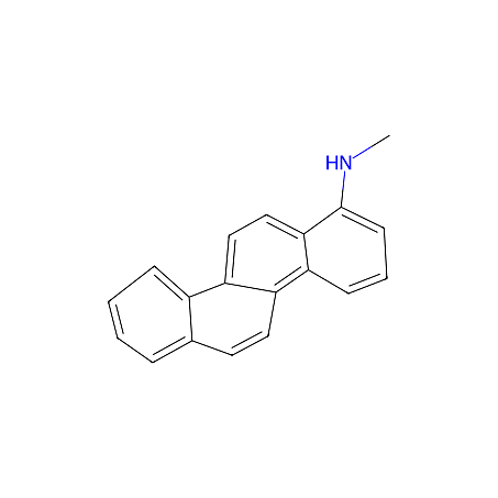 CNc1cccc2c1ccc1c3ccccc3ccc21